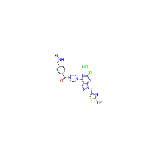 CCCc1nc(Cn2ncc3c(N4CCN(C(=O)c5ccc(CNCC)cc5)CC4)nc(Cl)nc32)cs1.Cl